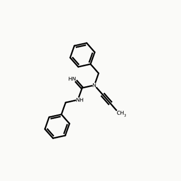 CC#CN(Cc1ccccc1)C(=N)NCc1ccccc1